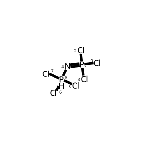 ClP(Cl)(Cl)=N[PH](Cl)(Cl)Cl